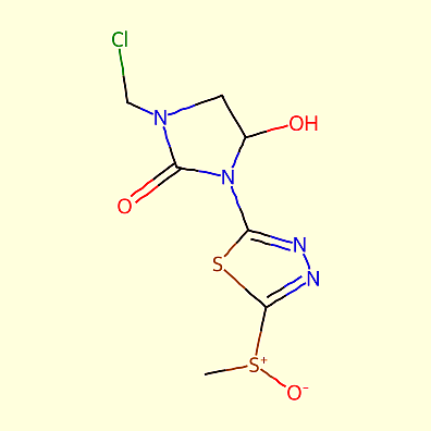 C[S+]([O-])c1nnc(N2C(=O)N(CCl)CC2O)s1